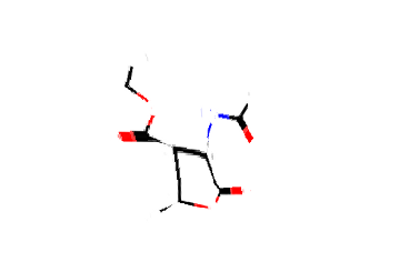 CCOC(=O)[C@@H]1[C@H](C)OC(=O)[C@@H]1NC(C)=O